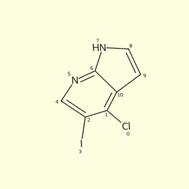 Clc1c(I)cnc2[nH]ccc12